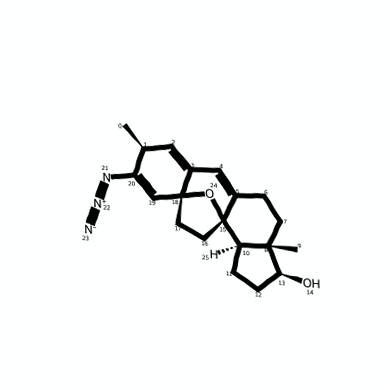 C[C@H]1C=C2C=C3CC[C@@]4(C)[C@@H](CC[C@@H]4O)[C@@]34CC[C@]2(C=C1N=[N+]=[N-])O4